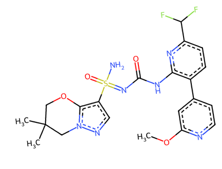 COc1cc(-c2ccc(C(F)F)nc2NC(=O)N=S(N)(=O)c2cnn3c2OCC(C)(C)C3)ccn1